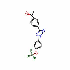 CC(=O)c1ccc(-c2ncn(-c3ccc(OC(F)(F)F)cc3)n2)cc1